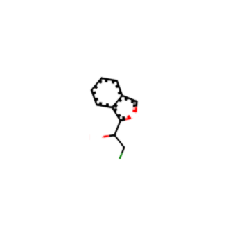 OC(CCl)c1occ2ccccc12